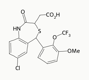 COc1cccc(C2SC(CC(=O)O)C(=O)Nc3ccc(Cl)cc32)c1OC(F)(F)F